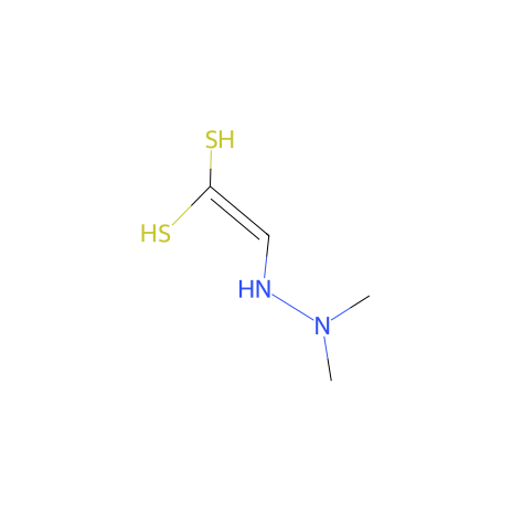 CN(C)NC=C(S)S